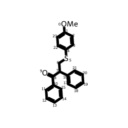 COc1ccc(SCC(C(=O)c2ccccc2)c2ccccc2)cc1